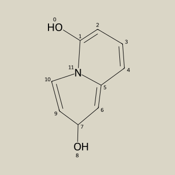 OC1=CC=CC2=CC(O)C=CN12